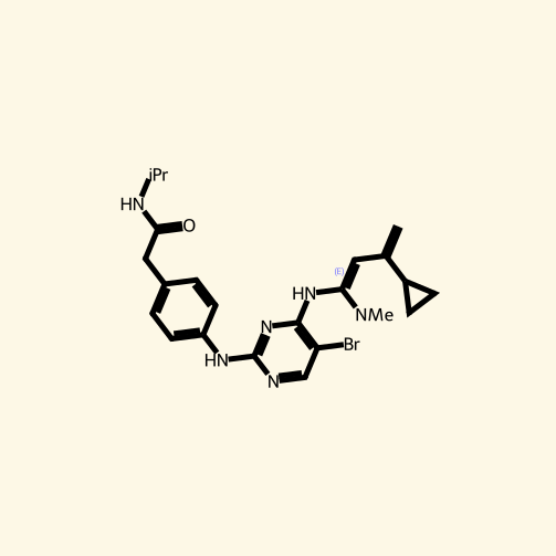 C=C(/C=C(\NC)Nc1nc(Nc2ccc(CC(=O)NC(C)C)cc2)ncc1Br)C1CC1